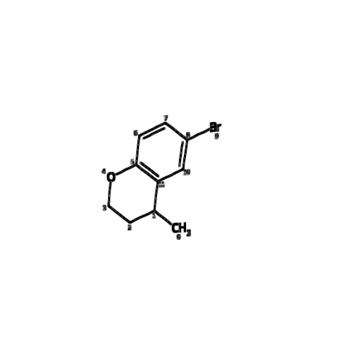 CC1CCOc2ccc(Br)cc21